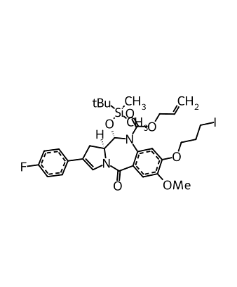 C=CCOC(=O)N1c2cc(OCCCI)c(OC)cc2C(=O)N2C=C(c3ccc(F)cc3)C[C@H]2[C@@H]1O[Si](C)(C)C(C)(C)C